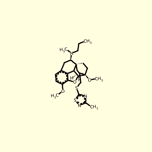 CCCN(C)[C@@H]1Cc2ccc(OC)c3c2C2[C@@H](O3)[C@@]3(OC)CC[C@]21C[C@@H]3CSc1nc(C)ns1